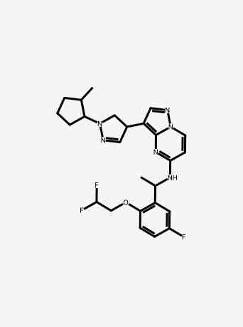 CC(Nc1ccn2ncc(C3C=NN(C4CCCC4C)C3)c2n1)c1cc(F)ccc1OCC(F)F